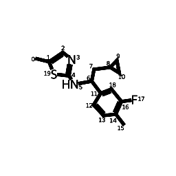 Cc1cnc(NC(CC2CC2)c2ccc(C)c(F)c2)s1